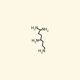 NCCCC(N)CCC(N)N